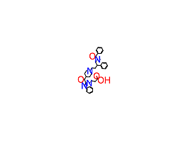 CN(CC(CCN1CCC(C(=O)c2nc3ccccc3n2CCC(=O)O)CC1)c1ccccc1)C(=O)c1ccccc1